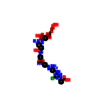 Nc1cc(Nc2nc(Cl)nc(Nc3ccccc3C(=O)O)n2)ccc1/N=N/c1ccc(NS(=O)(=O)c2ccc(N=Nc3ccc4c(/N=N/c5ccc(S(=O)(=O)CCOSOOO)cc5S(=O)(=O)O)c(N)ccc4c3O)cc2)cc1